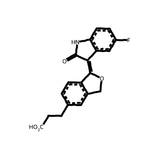 O=C(O)CCc1ccc2c(c1)COC2=C1C(=O)Nc2ccc(F)cc21